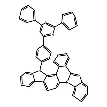 c1ccc(-c2nc(-c3ccccc3)nc(-c3ccc(-n4c5ccccc5c5ccc6c(c7ccccc7c7nc8ccccc8n67)c54)cc3)n2)cc1